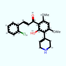 COc1cc(OC)c(C2=CCNCC2)c(O)c1C(=O)/C=C/c1ccccc1Cl